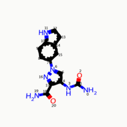 NC(=O)Nc1cn(-c2ccc3[nH]ccc3c2)nc1C(N)=O